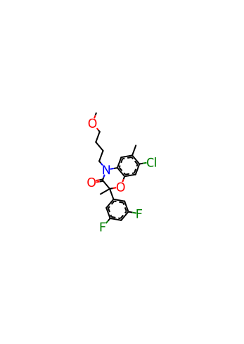 COCCCCN1C(=O)C(C)(c2cc(F)cc(F)c2)Oc2cc(Cl)c(C)cc21